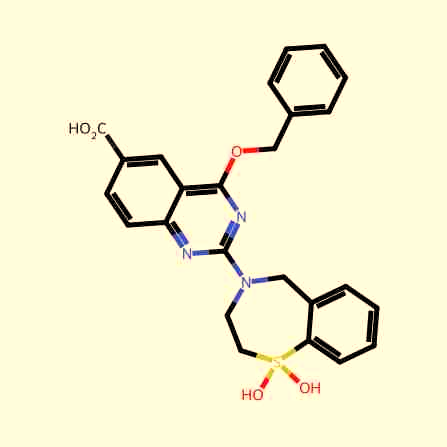 O=C(O)c1ccc2nc(N3CCS(O)(O)c4ccccc4C3)nc(OCc3ccccc3)c2c1